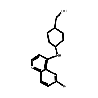 OCC1CCC(Nc2[c]cnc3ccc(Br)cc23)CC1